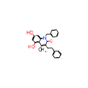 Cc1c(CCc2ccccc2)c(=O)n(Cc2ccccc2)c2cc(O)cc(O)c12